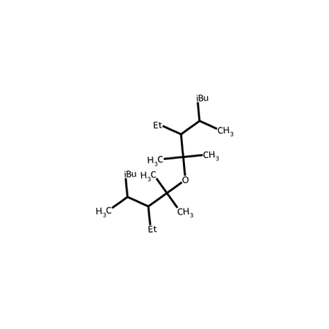 CCC(C)C(C)C(CC)C(C)(C)OC(C)(C)C(CC)C(C)C(C)CC